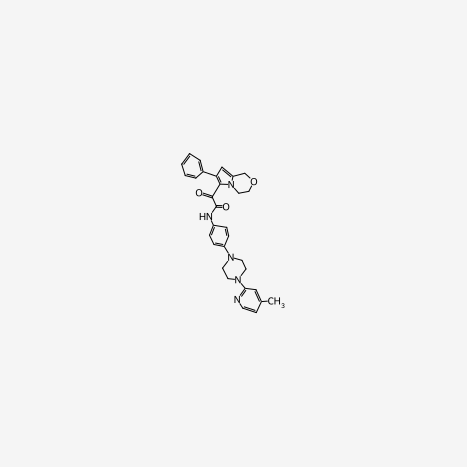 Cc1ccnc(N2CCN(c3ccc(NC(=O)C(=O)c4c(-c5ccccc5)cc5n4CCOC5)cc3)CC2)c1